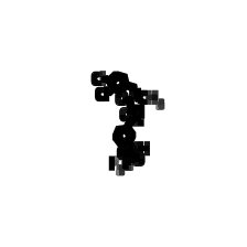 CN(Cc1ccc(Cl)c(Cl)c1)C(=O)c1nnc(-c2cccc(NS(=O)(=O)C(F)(F)F)c2)o1